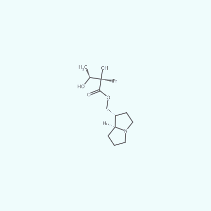 CC(C)[C@@](O)(C(=O)OC[C@@H]1CCN2CCC[C@@H]12)[C@H](C)O